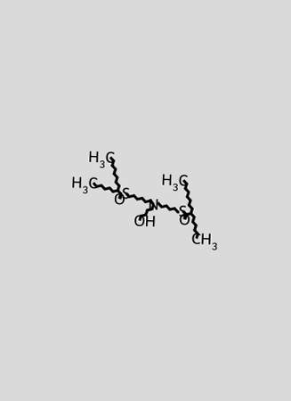 CCCCCCCCC(CCCCCC)C(=O)SCCCCCCN(CCCCO)CCCCCCSC(=O)C(CCCCCC)CCCCCCCC